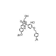 CC(C)Oc1ccc(C=C(NC(=O)c2ccc(OCCc3ccc(N(C)C)cc3)cc2)C(=O)NCCO)cc1.Cl